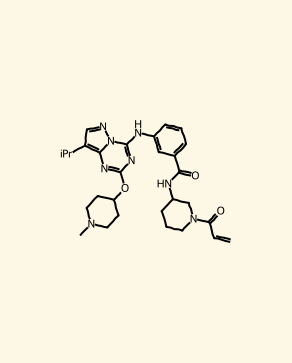 C=CC(=O)N1CCCC(NC(=O)c2cccc(Nc3nc(OC4CCN(C)CC4)nc4c(C(C)C)cnn34)c2)C1